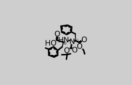 CCOC(=O)[C@H](Cc1ccccc1)N(N[C@@H](Cc1cccc(C)c1)C(=O)O)C(=O)OC(C)(C)C